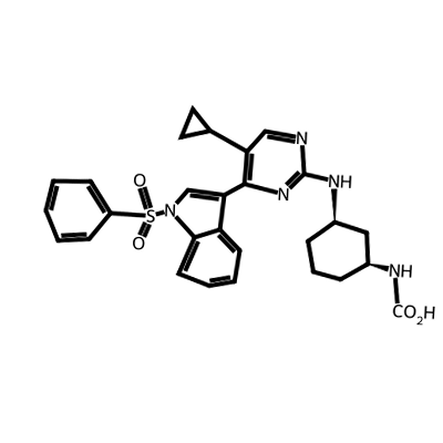 O=C(O)N[C@H]1CCC[C@@H](Nc2ncc(C3CC3)c(-c3cn(S(=O)(=O)c4ccccc4)c4ccccc34)n2)C1